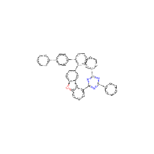 c1ccc(-c2ccc(-c3ccccc3-c3ccc4oc5cccc(-c6nc(-c7ccccc7)nc(-c7ccccc7)n6)c5c4c3)cc2)cc1